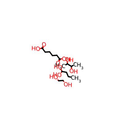 CC(O)C(C)O.CCCC(O)O.O=C(O)CCCCC(=O)O.OCCO